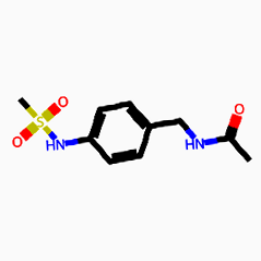 CC(=O)NCc1ccc(NS(C)(=O)=O)cc1